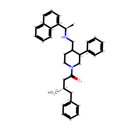 C[C@@H](NCC1CCN(C(=O)C[C@H](Cc2ccccc2)C(=O)O)CC1c1ccccc1)c1cccc2ccccc12